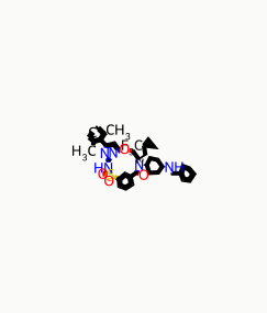 Cc1cccc(C)c1-c1cc2nc(n1)NS(=O)(=O)c1cccc(c1)C(=O)N([C@H]1CC[C@@H](NCc3ccccc3)CC1)[C@H](CC1(C(F)(F)F)CC1)CO2